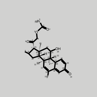 CCCC(=O)OCC(=O)[C@H]1C(C)C[C@H]2[C@@H]3C=C(F)C4=CC(=O)C=C[C@]4(C)[C@H]3C(O)C[C@]12C